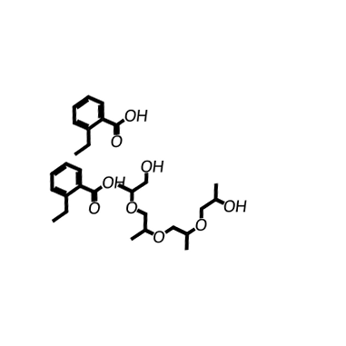 CC(O)COC(C)COC(C)COC(C)CO.CCc1ccccc1C(=O)O.CCc1ccccc1C(=O)O